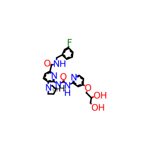 O=C(NCc1cccc(F)c1)c1ccc2c(n1)N(C(=O)Nc1cc(OCC(O)CO)ccn1)[C@H]1CCN2C1